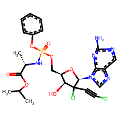 CC(C)OC(=O)[C@H](C)NP(=O)(OC[C@H]1O[C@@H](n2cnc3cnc(N)nc32)C(Cl)(C#CCl)[C@H]1O)Oc1ccccc1